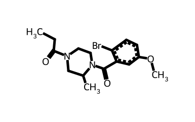 CCC(=O)N1CCN(C(=O)c2cc(OC)ccc2Br)C(C)C1